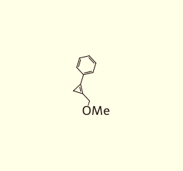 COCC1=C(c2ccccc2)C1